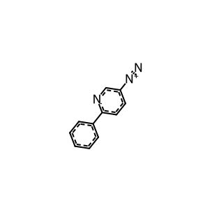 N#[N+]c1ccc(-c2ccccc2)nc1